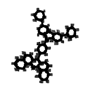 c1ccc(-c2ccc3c(c2)c2cc(-c4ccccc4)ccc2n3-c2ccc(-c3c4ccc5ccccc5c4nc4c3ccc3ccccc34)cc2)cc1